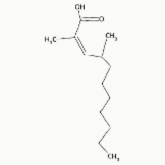 CCCCCCCC(C)C=C(C)C(=O)O